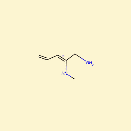 C=C/C=C(/CN)NC